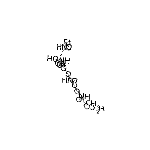 CCC(=O)NCCCCC(NC(=O)COCCOCCNC(=O)COCCOCCNC(=O)CCC(C)C(=O)O)C(O)O